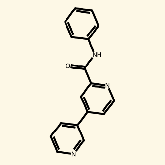 O=C(Nc1ccccc1)c1cc(-c2cccnc2)ccn1